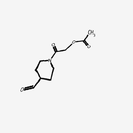 CC(=O)OCC(=O)N1CCC(C=O)CC1